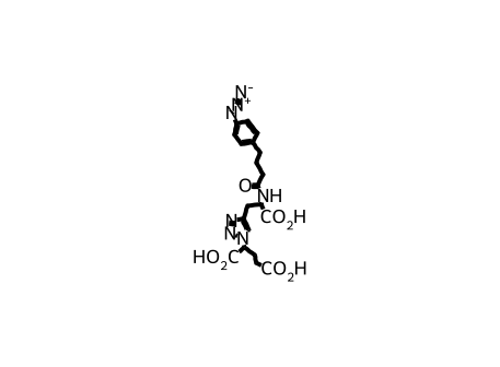 [N-]=[N+]=Nc1ccc(CCCC(=O)NC(Cc2cn(C(CCC(=O)O)C(=O)O)nn2)C(=O)O)cc1